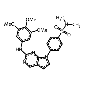 COc1cc(Nc2ncc3ccn(-c4ccc(S(=O)(=O)N(C)C)cc4)c3n2)cc(OC)c1OC